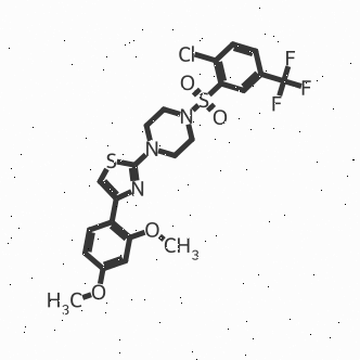 COc1ccc(-c2csc(N3CCN(S(=O)(=O)c4cc(C(F)(F)F)ccc4Cl)CC3)n2)c(OC)c1